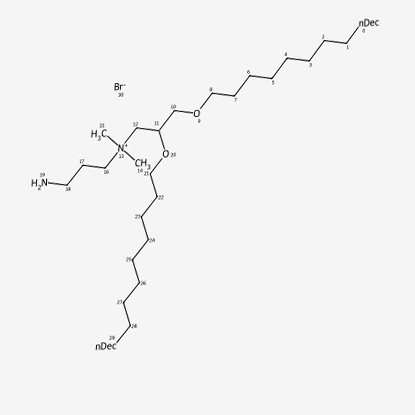 CCCCCCCCCCCCCCCCCCOCC(C[N+](C)(C)CCCN)OCCCCCCCCCCCCCCCCCC.[Br-]